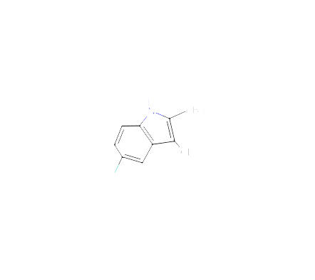 CCCCc1[nH]c2ccc(F)cc2c1C